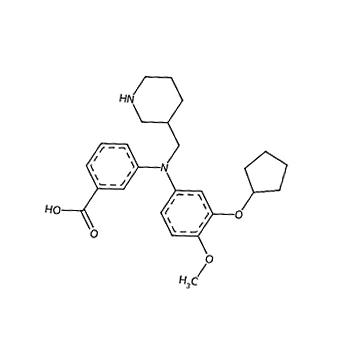 COc1ccc(N(CC2CCCNC2)c2cccc(C(=O)O)c2)cc1OC1CCCC1